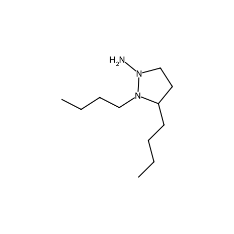 CCCCC1CCN(N)N1CCCC